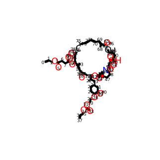 C=CCOC(=O)CCC(=O)O[C@@H]1/C(C)=C/[C@@H](C)C(=O)C[C@@H]([C@H](C)C[C@@H]2CC[C@@H](OCCOC(=O)OCC=C)[C@H](OC)C2)OC(=O)[C@@H]2CCCCN2C(=O)C(=O)[C@]2(O)O[C@@H](CC[C@H]2C)C[C@H](OC)/C(C)=C/C=C/C=C/[C@@H](C)C[C@@H](C)C(=O)[C@@H]1OC